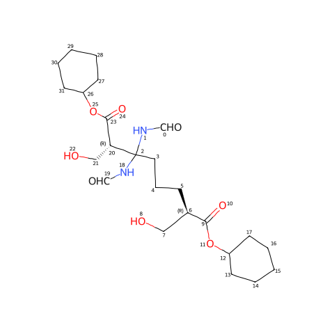 O=CNC(CCC[C@H](CO)C(=O)OC1CCCCC1)(NC=O)[C@H](CO)C(=O)OC1CCCCC1